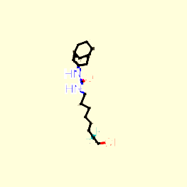 O=C(NCCCCCCC(F)(F)CO)NC12CC3CCCC(C3)(C1)C2